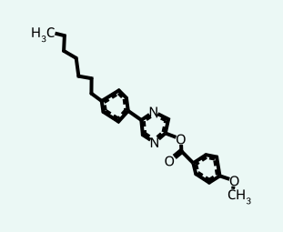 CCCCCCCc1ccc(-c2cnc(OC(=O)c3ccc(OC)cc3)cn2)cc1